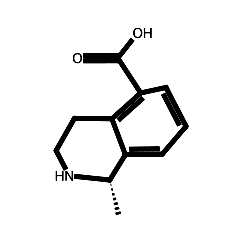 C[C@@H]1NCCc2c(C(=O)O)cccc21